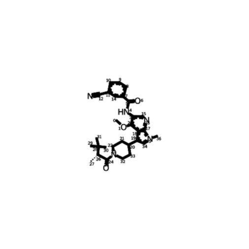 COc1c(NC(=O)c2cccc(C#N)c2)cnc2c1c(C1CCN(C(=O)[C@H](C)C(C)(C)C)CC1)cn2C